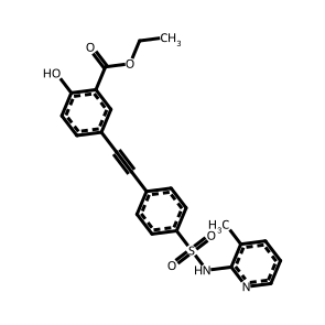 CCOC(=O)c1cc(C#Cc2ccc(S(=O)(=O)Nc3ncccc3C)cc2)ccc1O